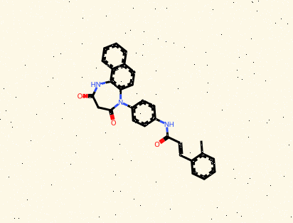 Cc1ccccc1/C=C/C(=O)Nc1ccc(N2C(=O)CC(=O)Nc3c2ccc2ccccc32)cc1